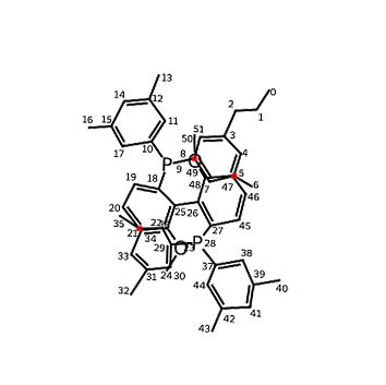 CCCc1cc(C)cc(P(c2cc(C)cc(C)c2)c2cccc(OC)c2C2=C(P(c3cc(C)cc(C)c3)c3cc(C)cc(C)c3)C=CCC2OC)c1